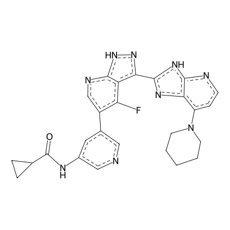 O=C(Nc1cncc(-c2cnc3[nH]nc(-c4nc5c(N6CCCCC6)ccnc5[nH]4)c3c2F)c1)C1CC1